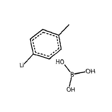 OB(O)O.[Li][c]1ccc(C)cc1